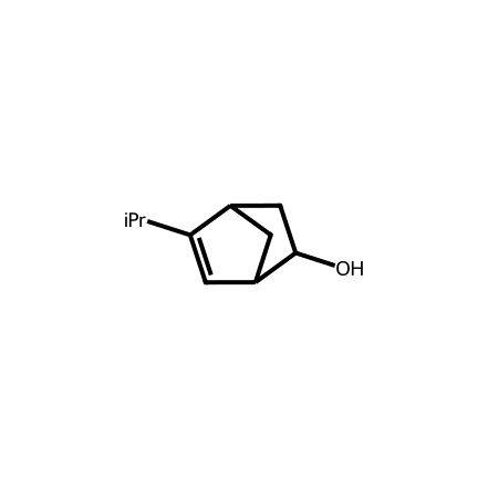 CC(C)C1=CC2CC1CC2O